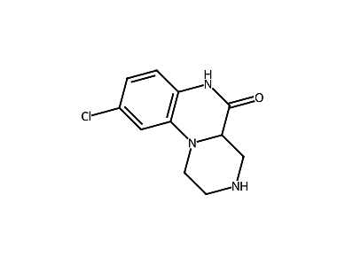 O=C1Nc2ccc(Cl)cc2N2CCNCC12